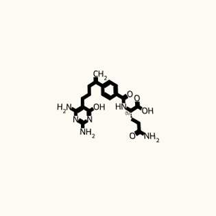 C=C(CCCc1c(N)nc(N)nc1O)c1ccc(C(=O)N[C@@H](CCC(N)=O)C(=O)O)cc1